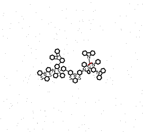 c1ccc(N2c3cc(-n4c5ccccc5c5ccccc54)ccc3[Si]3(c4ccccc4N(c4ccc5c(c4)Sc4cccc6c4B5c4ccc(-c5cccc(S7(c8ccccc8)c8ccccc8N(c8cccc9c8Sc8cccc%10c8B9c8ccccc8S%10)c8ccc(-c9cccc%10c9C9c%11ccccc%11C9%11c9ccccc9C%10%11)cc87)c5)cc4S6)c4ccccc43)c3ccc(-n4c5ccccc5c5ccccc54)cc32)cc1